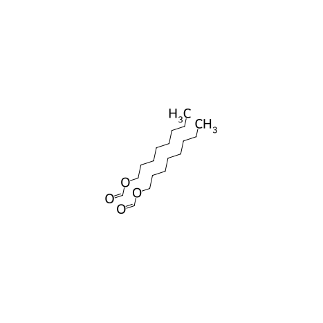 CCCCCCCCOC=O.CCCCCCCCOC=O